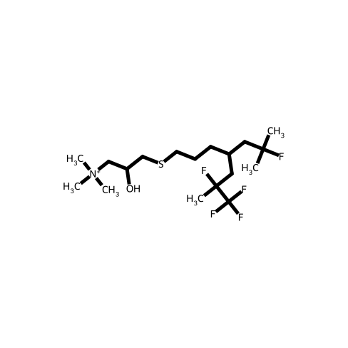 CC(C)(F)CC(CCCSCC(O)C[N+](C)(C)C)CC(C)(F)C(F)(F)F